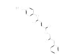 Cc1ccc(OC(=O)/C=C/C(=O)OCC(=O)Cc2ccccc2)cc1